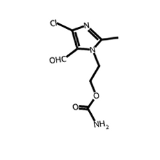 Cc1nc(Cl)c(C=O)n1CCOC(N)=O